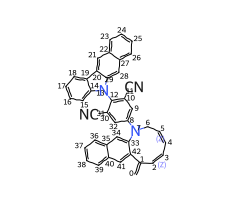 C=C1/C=C\C=C/CN(c2cc(C#N)c(-n3c4ccccc4c4cc5ccccc5cc43)c(C#N)c2)c2cc3ccccc3cc21